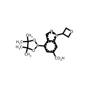 CC1(C)OB(c2cc(C(=O)O)cc3c2cnn3C2COC2)OC1(C)C